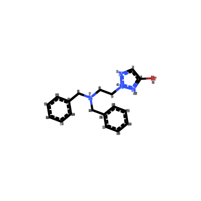 Brc1cnn(CCN(Cc2ccccc2)Cc2ccccc2)n1